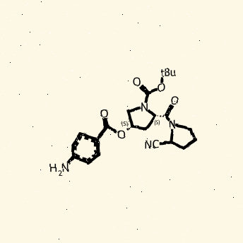 CC(C)(C)OC(=O)N1C[C@@H](OC(=O)c2ccc(N)cc2)C[C@H]1C(=O)N1CCCC1C#N